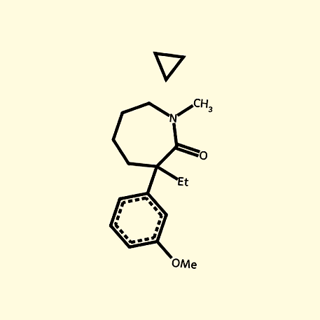 C1CC1.CCC1(c2cccc(OC)c2)CCCCN(C)C1=O